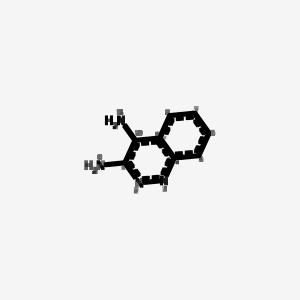 Nc1nnc2ccccc2c1N